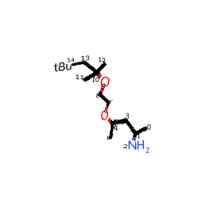 CC(N)CC(C)OCCOC(C)(C)CC(C)(C)C